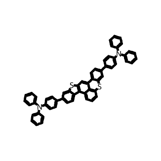 c1ccc(N(c2ccccc2)c2ccc(-c3ccc4c(c3)Sc3cccc5c3c-4cc3sc4cc(-c6ccc(N(c7ccccc7)c7ccccc7)cc6)ccc4c35)cc2)cc1